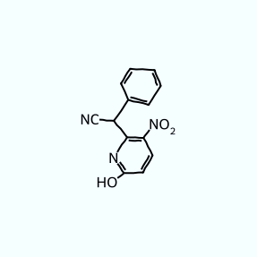 N#CC(c1ccccc1)c1nc(O)ccc1[N+](=O)[O-]